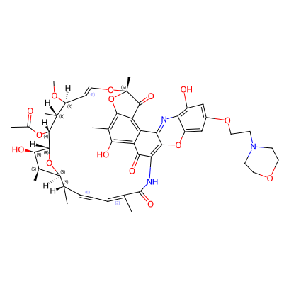 CO[C@H]1/C=C/O[C@@]2(C)Oc3c(C)c(O)c4c(=O)c(c5oc6cc(OCCN7CCOCC7)cc(O)c6nc-5c4c3C2=O)NC(=O)/C(C)=C\C=C\[C@H](C)[C@@H]2O[C@H]([C@H](O)[C@@H]2C)[C@H](OC(C)=O)[C@@H]1C